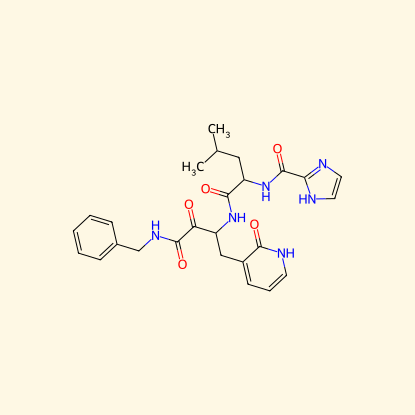 CC(C)CC(NC(=O)c1ncc[nH]1)C(=O)NC(Cc1ccc[nH]c1=O)C(=O)C(=O)NCc1ccccc1